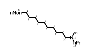 CCCCCCCCCCCCCCCCCCCN(C)CCC